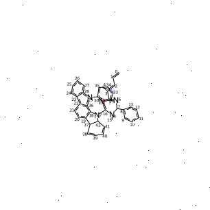 C=C/C=C(\C)C1=NC(c2ccccc2)N(C)C(N2c3c(ccc4c5ccccc5n(-c5ccccc5)c34)C3C=CC=CC32)=N1